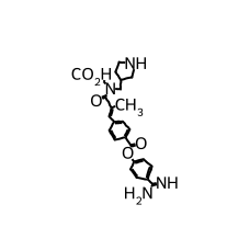 C/C(=C\c1ccc(C(=O)Oc2ccc(C(=N)N)cc2)cc1)C(=O)N(CC(=O)O)CC1CCNCC1